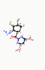 COc1cc(OC)nc(C(=O)c2ccc(F)c(F)c2N)n1